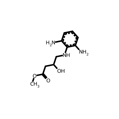 COC(=O)CC(O)CNc1c(N)cccc1N